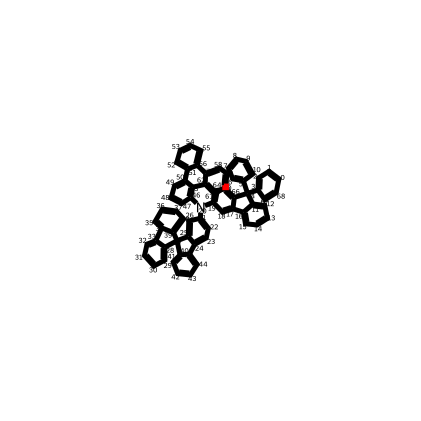 c1ccc(C2(c3ccccc3)c3ccccc3-c3cc(N(c4ccc5c(c4)C4(c6ccccc6-c6ccccc64)c4ccccc4-5)c4cccc5c6ccccc6c6ccccc6c45)ccc32)cc1